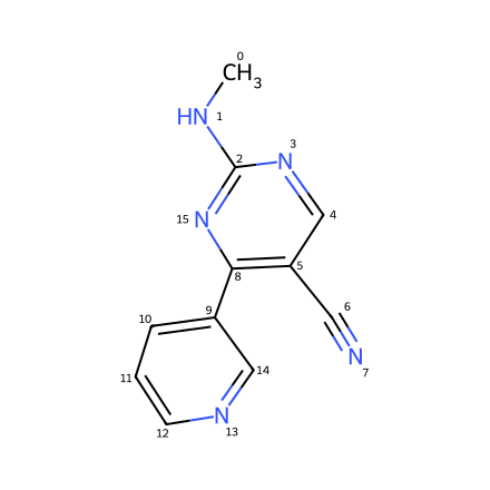 CNc1ncc(C#N)c(-c2cccnc2)n1